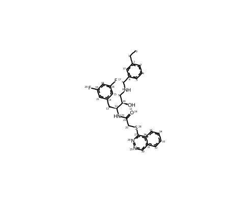 CCc1cccc(CNC[C@@H](O)[C@H](Cc2cc(F)cc(F)c2)NC(=O)CSc2nncc3ccccc23)c1